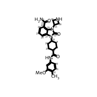 COc1cc(NC(=O)C2CCC(n3c(=O)n(C4CNC4)c4c(C(N)=O)cccc43)CC2)ccc1C